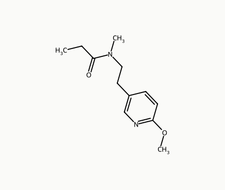 CCC(=O)N(C)CCc1ccc(OC)nc1